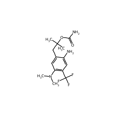 CN(C)c1cc(CC(C)(C)OC(N)=O)c(N)cc1C(F)(F)F